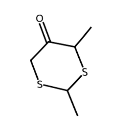 CC1SCC(=O)C(C)S1